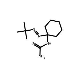 CC(C)(C)N=NC1(NC(N)=O)CCCCC1